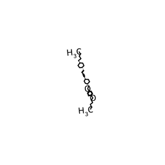 CCCCCOc1ccc(OC[C@H]2CC[C@H](C#CC=C[C@H]3CC[C@H](CCCCC)CC3)CC2)cc1